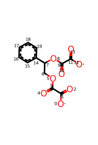 [O]C(=O)C(=O)OCC(OC(=O)C([O])=O)c1ccccc1